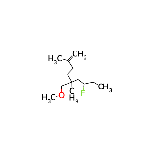 C=C(C)CCC(C)(COC)CC(F)CC